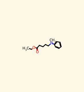 CCOC(=O)CCCCN(C)c1ccccc1